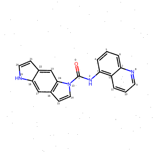 O=C(Nc1cccc2ncccc12)n1ccc2cc3[nH]ccc3cc21